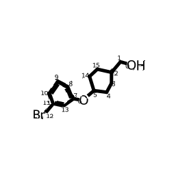 OCC1CCC(Oc2cccc(Br)c2)CC1